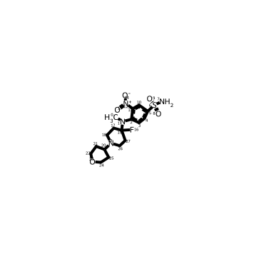 CN(c1ccc(S(N)(=O)=O)cc1[N+](=O)[O-])C1(F)CCN(C2CCOCC2)CC1